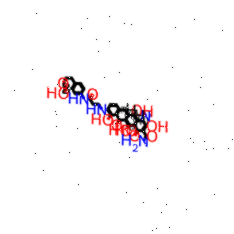 C[C@H]1c2ccc(NCCC(=O)Nc3ccc4c(c3)B(O)OCC4)c(O)c2C(=O)C2=C(O)[C@]3(O)C(=O)C(C(N)=O)=C(O)[C@@H](N(C)C)[C@@H]3[C@@H](O)[C@@H]21